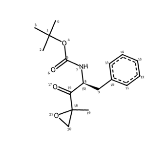 CC(C)(C)OC(=O)N[C@@H](Cc1ccccc1)C(=O)C1(C)CO1